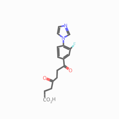 O=C(O)CCC(=O)CCC(=O)c1ccc(-n2ccnc2)c(F)c1